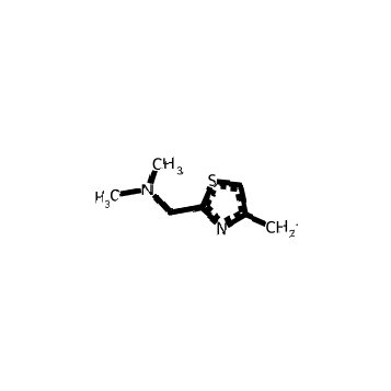 [CH2]c1csc(CN(C)C)n1